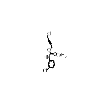 O=C(Nc1cccc(Cl)c1)OCC#CCCl.[CaH2]